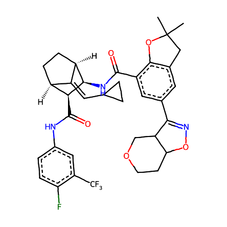 CC1(C)Cc2cc(C3=NOC4CCOCC34)cc(C(=O)N[C@H]3[C@@H](C(=O)Nc4ccc(F)c(C(F)(F)F)c4)[C@H]4CC[C@@H]3/C4=C\C3CC3)c2O1